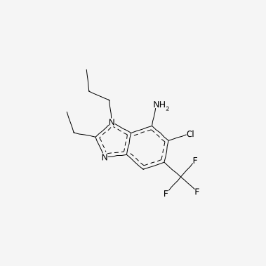 CCCn1c(CC)nc2cc(C(F)(F)F)c(Cl)c(N)c21